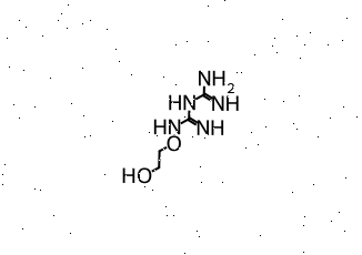 N=C(N)NC(=N)NOCCO